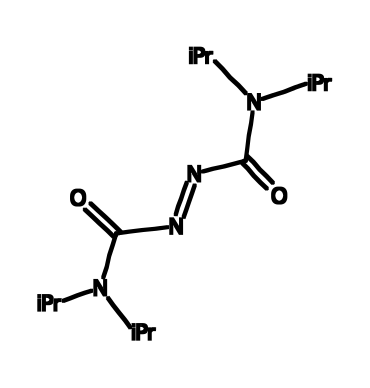 CC(C)N(C(=O)N=NC(=O)N(C(C)C)C(C)C)C(C)C